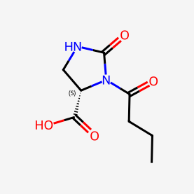 CCCC(=O)N1C(=O)NC[C@H]1C(=O)O